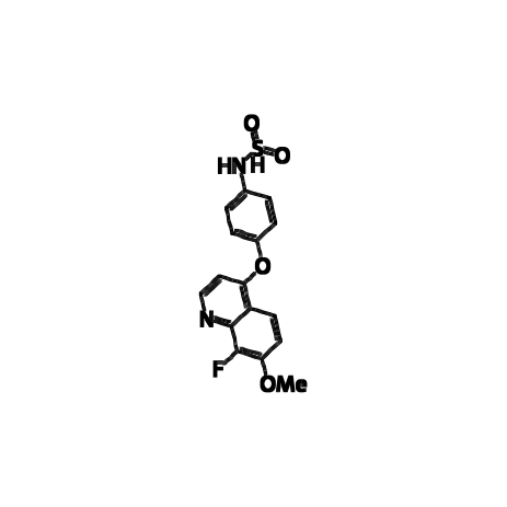 COc1ccc2c(Oc3ccc(N[SH](=O)=O)cc3)ccnc2c1F